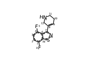 Fc1ccc(F)c2c(C3=CCCNC3)nsc12